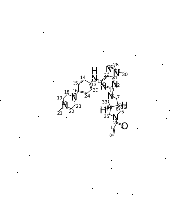 C=CC(=O)N1C[C@@H]2CN(c3nc(Nc4ccc(N5CCN(C)CC5)cc4)c4ncn(C)c4n3)C[C@@H]2C1